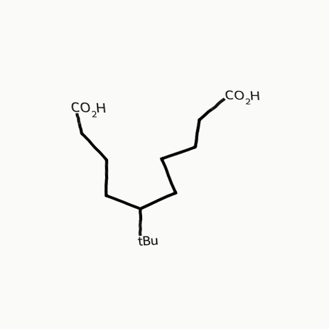 CC(C)(C)C(CCCCC(=O)O)CCCC(=O)O